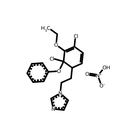 CCOC1=C(Cl)C=CC(CCn2ccnc2)C1(Cl)Oc1ccccc1.O=[N+]([O-])O